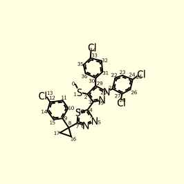 CSc1c(-c2nnc(C3(c4ccc(Cl)cc4)CC3)s2)nn(-c2ccc(Cl)cc2Cl)c1-c1ccc(Cl)cc1